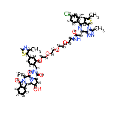 Cc1ncsc1-c1ccc(CNC(=O)[C@@H]2C[C@@H](O)CN2C(=O)[C@H](C(C)C)N2Cc3ccccc3C2=O)c(OCCOCCOCCOCCNC(=O)C[C@@H]2N=C(c3ccc(Cl)cc3)c3c(sc(C)c3C)-n3c(C)nnc32)c1